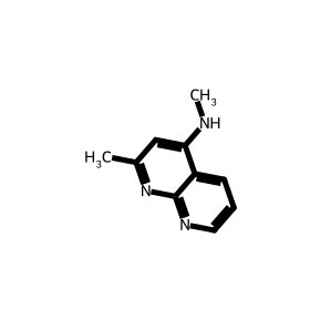 CNc1cc(C)nc2ncccc12